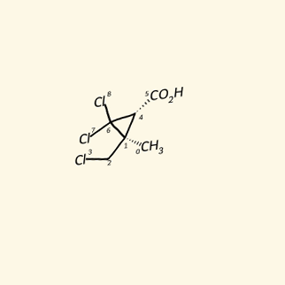 C[C@@]1(CCl)[C@@H](C(=O)O)C1(Cl)Cl